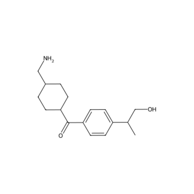 CC(CO)c1ccc(C(=O)C2CCC(CN)CC2)cc1